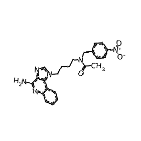 CC(=O)N(CCCCn1cnc2c(N)nc3ccccc3c21)Cc1ccc([N+](=O)[O-])cc1